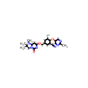 Cc1ncc(Oc2c(F)cc(COc3cc4n(c(=O)n3)CC(C)(C)N4C)cc2C#N)cn1